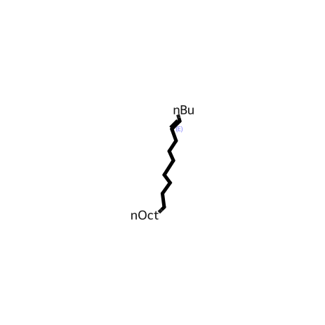 [CH2]CCC/C=C/CCCCCCCCCCCCCC[CH2]